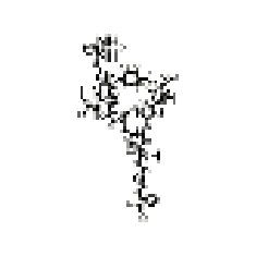 CSC(=O)OCc1ccc(NC(=O)[C@H](CCCNC(N)=O)NC(=O)[C@@H](NC(=O)CN2CCN(CC(=O)O)CCN(CC(=O)NCCOCCC(=O)C(C)C)CC2)C(C)C)cc1